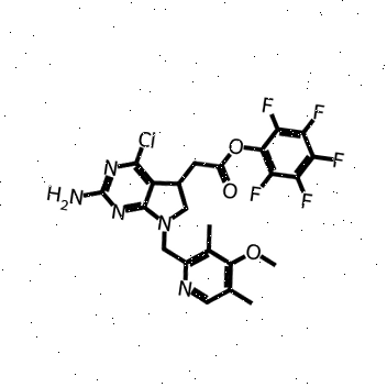 COc1c(C)cnc(CN2CC(CC(=O)Oc3c(F)c(F)c(F)c(F)c3F)c3c(Cl)nc(N)nc32)c1C